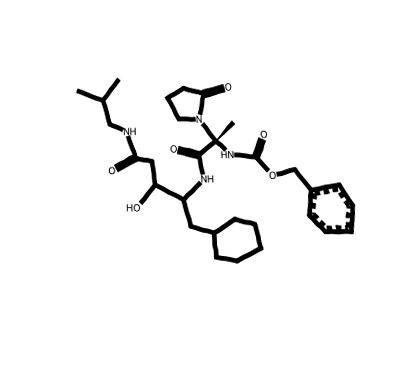 CC(C)CNC(=O)CC(O)C(CC1CCCCC1)NC(=O)[C@@](C)(NC(=O)OCc1ccccc1)N1CCCC1=O